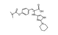 CN(C)C(=O)Oc1ccc(C[C@H](Nc2c[nH]c(N3CCCCC3)n2)C(=O)O)cc1